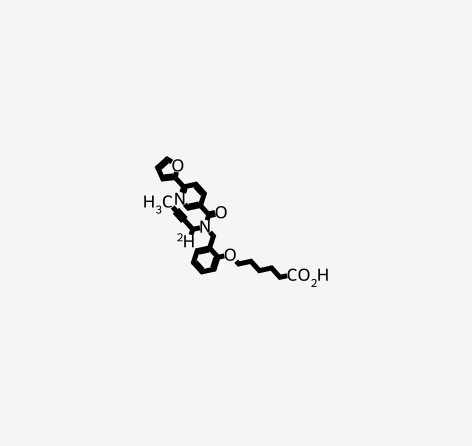 [2H]C(C#CC)N(Cc1ccccc1OCCCCCC(=O)O)C(=O)c1ccc(-c2ccco2)nc1